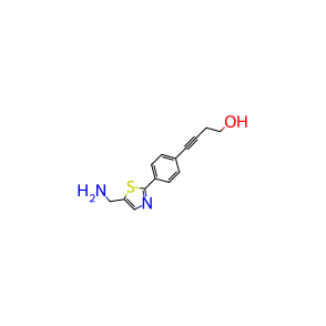 NCc1cnc(-c2ccc(C#CCCO)cc2)s1